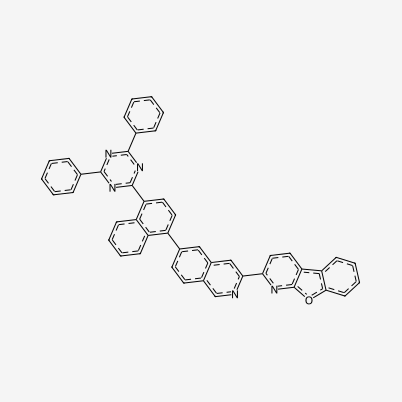 c1ccc(-c2nc(-c3ccccc3)nc(-c3ccc(-c4ccc5cnc(-c6ccc7c(n6)oc6ccccc67)cc5c4)c4ccccc34)n2)cc1